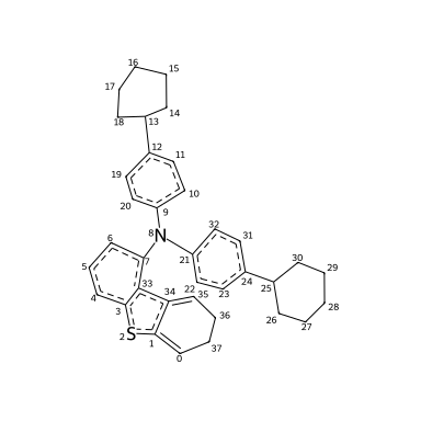 C1=c2sc3cccc(N(c4ccc(C5CCCCC5)cc4)c4ccc(C5CCCCC5)cc4)c3c2=CCC1